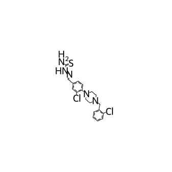 NC(=S)NN=Cc1ccc(N2CCN(Cc3ccccc3Cl)CC2)c(Cl)c1